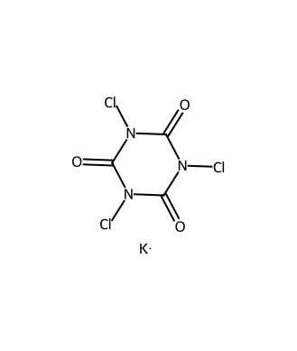 O=c1n(Cl)c(=O)n(Cl)c(=O)n1Cl.[K]